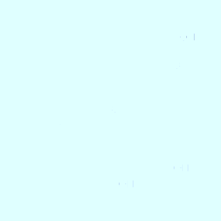 OCC(O)C(OCCOO)c1ccccc1